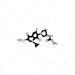 C[C@H]1CN(c2c(F)cc3c(=O)c(C(=O)O)cn(C4CC4)c3c2Cl)C[C@@H]1NC(=O)OC(C)(C)C